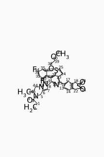 C=CC(=O)N1Cc2cc(-c3nc(-c4ccc5c(c4)CS(=O)(=O)C5)c4ccsc4c3-c3c(F)cc(F)cc3OCCOC)nn2CC1C